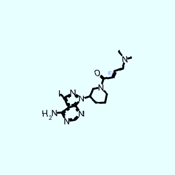 CN(C)C/C=C/C(=O)N1CCCC(n2nc(I)c3c(N)ncnc32)C1